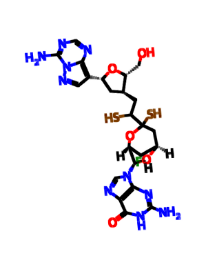 Nc1nc2c(ncn2[C@@H]2O[C@@H]3CC(S)(C(S)C[C@H]4C[C@H](c5cnn6c(N)ncnc56)O[C@@H]4CO)O[C@@H]2[C@@H]3F)c(=O)[nH]1